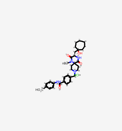 CCCCN1C(=O)[C@@H](CC2(O)CCCCCC2)NC(=O)C12CCN(Cc1ccc(C(=O)Nc3ccc(C(=O)O)cc3)cc1)CC2.Cl